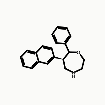 c1ccc(C2OCCNC[C@H]2c2ccc3ccccc3c2)cc1